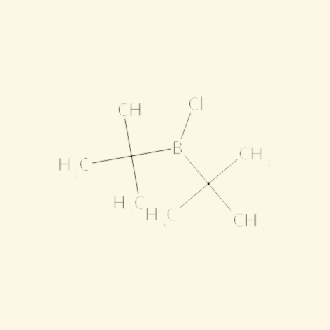 CC(C)(C)B(Cl)C(C)(C)C